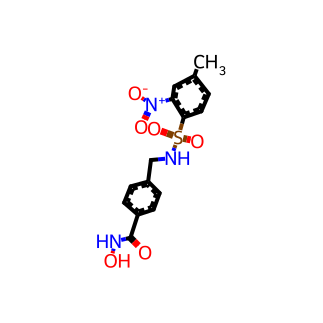 Cc1ccc(S(=O)(=O)NCc2ccc(C(=O)NO)cc2)c([N+](=O)[O-])c1